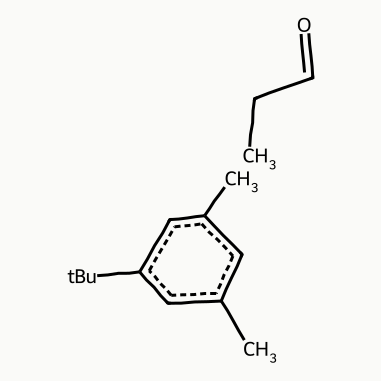 CCC=O.Cc1cc(C)cc(C(C)(C)C)c1